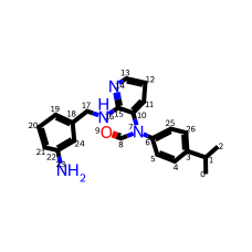 CC(C)c1ccc(N(C=O)c2cccnc2NCc2cccc(N)c2)cc1